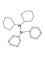 c1ccc(N(c2ccccc2)N(C2CCCCC2)C2CCCCC2)cc1